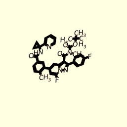 Cc1ccc(C(=O)NC2(c3ccccn3)CC2)cc1-c1cc(F)n2nc(-c3ccc(F)cc3)c(C(=O)N(C)C(=O)OC(C)(C)C)c2c1